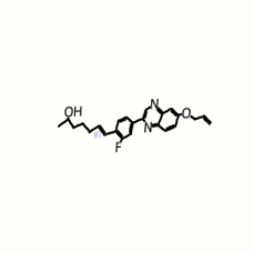 C=CCOc1ccc2nc(-c3ccc(/C=C/CCCC(C)O)c(F)c3)cnc2c1